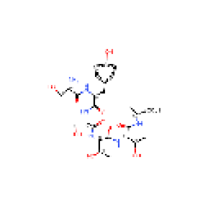 C[C@H](NC(=O)[C@@H](NC(=O)[C@@H](NC(=O)[C@H](CO)NC(=O)[C@H](Cc1ccc(O)cc1)NC(=O)[C@@H](N)CO)[C@@H](C)O)[C@@H](C)O)C(=O)O